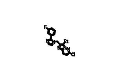 CCc1c(Cn2ccnc2-c2cccc(F)c2)nc2ccc(Cl)nn12